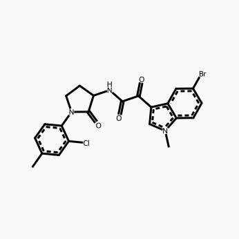 Cc1ccc(N2CCC(NC(=O)C(=O)c3cn(C)c4ccc(Br)cc34)C2=O)c(Cl)c1